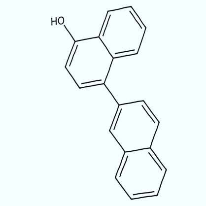 Oc1ccc(-c2ccc3ccccc3c2)c2ccccc12